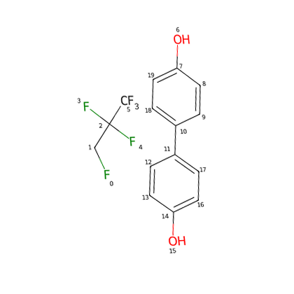 FCC(F)(F)C(F)(F)F.Oc1ccc(-c2ccc(O)cc2)cc1